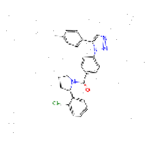 Cc1ccc(-c2cnnn2-c2ccc(C(=O)N3CCC[C@@H]3c3ccccc3Cl)cc2)cc1